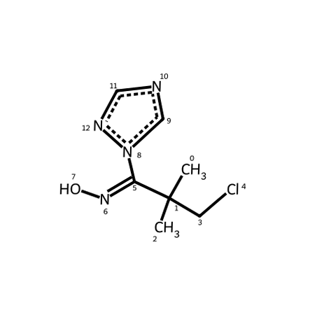 CC(C)(CCl)/C(=N/O)n1cncn1